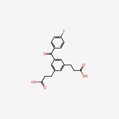 O=C(O)CCc1cc(CCC(=O)O)cc(C(=O)c2ccc(F)cc2)c1